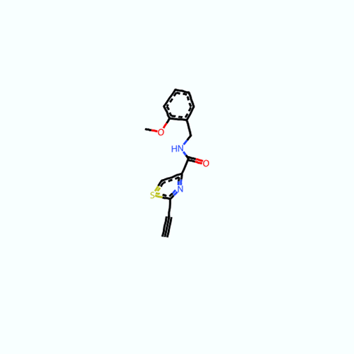 C#Cc1nc(C(=O)NCc2ccccc2OC)cs1